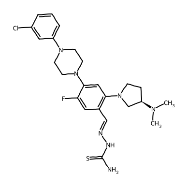 CN(C)[C@@H]1CCN(c2cc(N3CCN(c4cccc(Cl)c4)CC3)c(F)cc2C=NNC(N)=S)C1